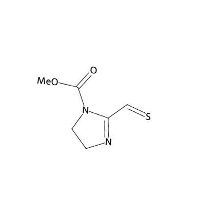 COC(=O)N1CCN=C1C=S